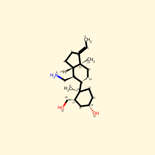 CC=C1CC[C@H]2[C@H](CN)[C@@H]([C@@]3(C)CC[C@H](O)C[C@@H]3CO)CC[C@]12C